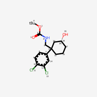 CC(C)(C)OC(=O)NCC1(c2ccc(Cl)c(Cl)c2)CCC[C@@H](O)C1